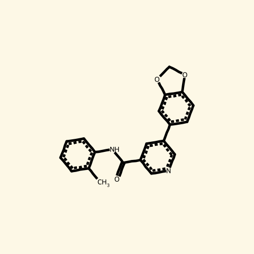 Cc1ccccc1NC(=O)c1cncc(-c2ccc3c(c2)OCO3)c1